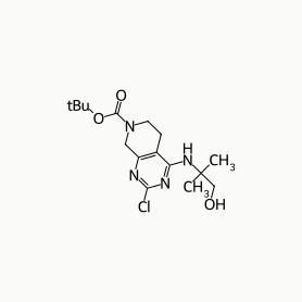 CC(C)(CO)Nc1nc(Cl)nc2c1CCN(C(=O)OC(C)(C)C)C2